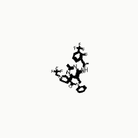 Cc1nc(N[C@H](C)c2cccc(C(F)(F)F)c2F)c2c(n1)C1(CCN(CC(F)(F)F)C1)C(=O)N(c1ccccc1)C2